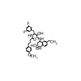 CCc1ccc2c(c1)[C@@H](NC[C@H](O)[C@H](Cc1cc(F)cc(F)c1)NC(=O)CCCc1ccc(OC)cc1)CS(O)(O)C2